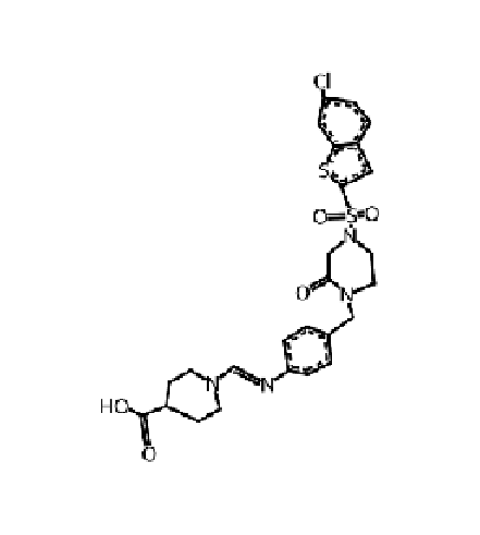 O=C(O)C1CCN(C=Nc2ccc(CN3CCN(S(=O)(=O)c4cc5ccc(Cl)cc5s4)CC3=O)cc2)CC1